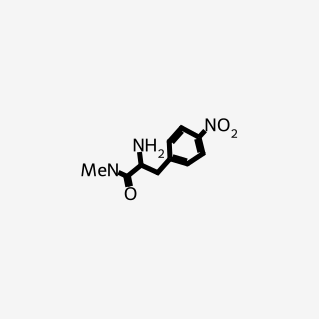 CNC(=O)C(N)Cc1ccc([N+](=O)[O-])cc1